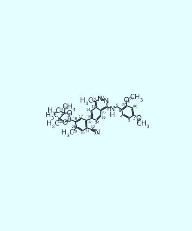 COc1ccc(CNc2nnc(C)c3cc(-c4cc(B5OC(C)(C)C(C)(C)O5)c(C)cc4C#N)ccc23)c(OC)c1